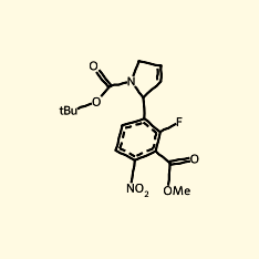 COC(=O)c1c([N+](=O)[O-])ccc(C2C=CCN2C(=O)OC(C)(C)C)c1F